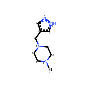 CCN1CCN(Cc2cn[nH]c2)CC1